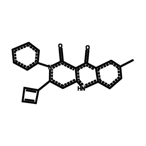 Cc1ccc2[nH]c3cc(C4=CC=C4)n(-c4ccccc4)c(=O)c3c(=O)c2c1